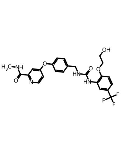 CNC(=O)c1cc(Oc2ccc(CNC(=O)Nc3cc(C(F)(F)F)ccc3OCCO)cc2)ccn1